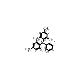 Cc1cc(C)c(N(c2ccccc2)c2c(C)cc(C)cc2C)c(C)c1